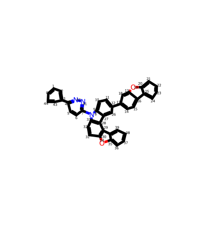 c1ccc(-c2ccc(-n3c4ccc(-c5ccc6c(c5)oc5ccccc56)cc4c4c5c(ccc43)oc3ccccc35)nn2)cc1